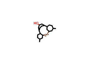 CC1CCC2CC(C1)SSC1CC(C)CCC1C1CCC2CC(O)C1